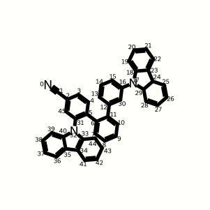 N#Cc1ccc(-c2ccccc2-c2cccc(N3c4ccccc4C4C=CC=CC43)c2)c(-n2c3c(c4ccccc42)C=CCC3)c1